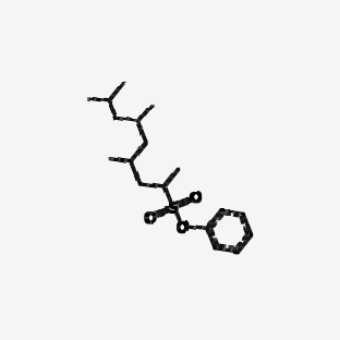 CC(C)CC(C)CC(C)CC(C)S(=O)(=O)Oc1ccccc1